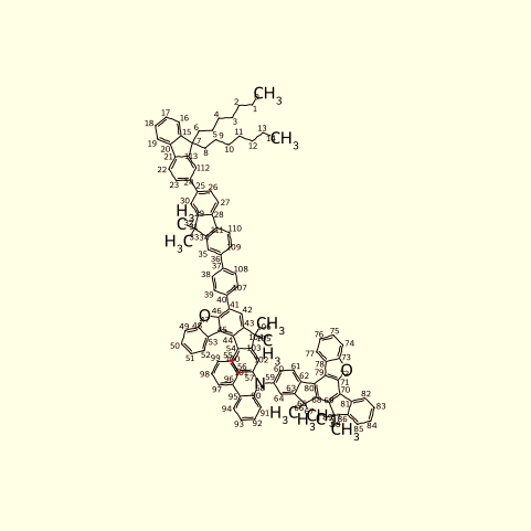 CCCCCCCC1(CCCCCCC)c2ccccc2-c2ccc(-c3ccc4c(c3)C(C)(C)c3cc(-c5ccc(-c6cc7c(c8c6oc6ccccc68)-c6ccc(N(c8ccc9c(c8)C(C)(C)c8c%10c(c%11oc%12ccccc%12c%11c8-9)-c8ccccc8C%10(C)C)c8ccccc8-c8ccccc8)cc6C7(C)C)cc5)ccc3-4)cc21